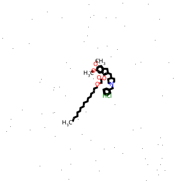 CCCCCCCCCCCCCCCCOCC(=O)OC1=C(CC2CCN(Cc3ccccc3)CC2)Cc2cc(OC)c(OC)cc21.Cl